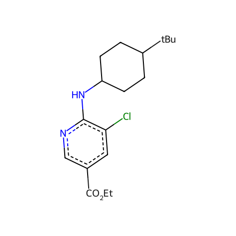 CCOC(=O)c1cnc(NC2CCC(C(C)(C)C)CC2)c(Cl)c1